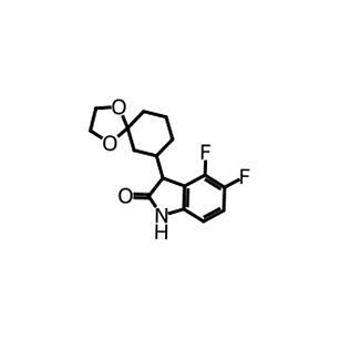 O=C1Nc2ccc(F)c(F)c2C1C1CCCC2(C1)OCCO2